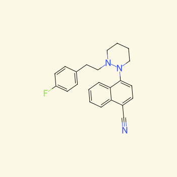 N#Cc1ccc(N2CCCCN2CCc2ccc(F)cc2)c2ccccc12